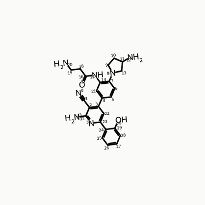 N#Cc1c(-c2ccc(N3CCC(N)C3)c(NC(=O)CCN)c2)cc(-c2ccccc2O)nc1N